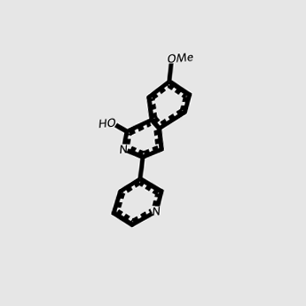 COc1ccc2cc(-c3cccnc3)nc(O)c2c1